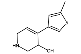 Cc1cc(C2=CCNCC2O)cs1